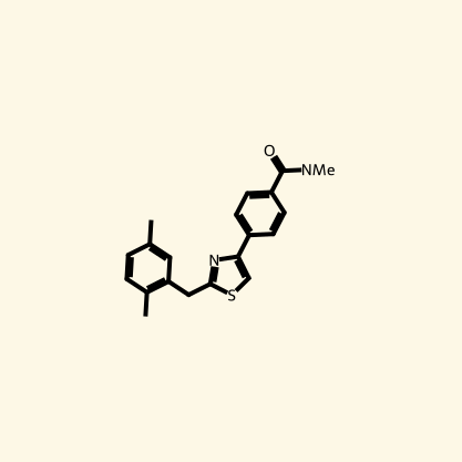 CNC(=O)c1ccc(-c2csc(Cc3cc(C)ccc3C)n2)cc1